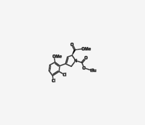 COC(=O)[C@@H]1C=C(c2c(OC)ccc(Cl)c2Cl)CN1C(=O)OC(C)(C)C